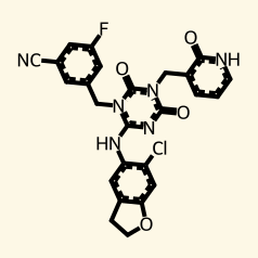 N#Cc1cc(F)cc(Cn2c(Nc3cc4c(cc3Cl)OCC4)nc(=O)n(Cc3ccc[nH]c3=O)c2=O)c1